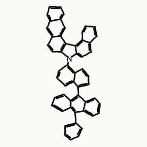 c1ccc(-c2c3ccccc3c(-c3cccc4c(-n5c6ccc7ccccc7c6c6c7cc8ccccc8cc7ccc65)cccc34)c3ccccc23)cc1